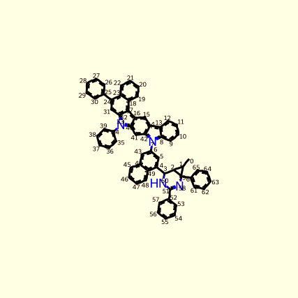 CC1C2C(c3cc(-n4c5ccccc5c5cc6c7c8ccccc8c(-c8ccccc8)cc7n(-c7ccccc7)c6cc54)cc4ccccc34)NC(c3ccccc3)=NC12c1ccccc1